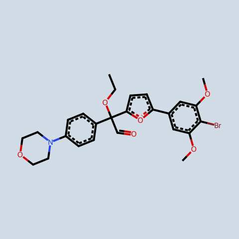 CCOC(C=O)(c1ccc(N2CCOCC2)cc1)c1ccc(-c2cc(OC)c(Br)c(OC)c2)o1